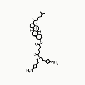 CC(C)CCC[C@@H](C)[C@H]1CC[C@H]2[C@@H]3CC=C4C[C@@H](OC(=O)CCCC(=O)N(CCC5CC(N)C5)CCC5CC(N)C5)CC[C@]4(C)[C@H]3CC[C@]12C